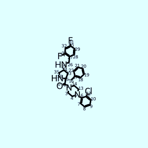 O=C(N1CCN(c2ccccc2Cl)CC1)[C@]1(Cc2ccccc2)C[C@H](NCc2ccc(F)cc2F)CN1